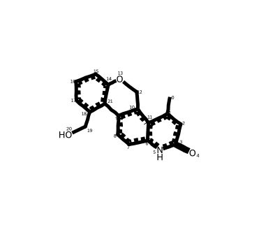 Cc1cc(=O)[nH]c2ccc3c(c12)COc1cccc(CO)c1-3